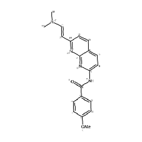 COc1ccc(C(=O)Nc2ccc3ccc(C=CN(C)C)nc3n2)cc1